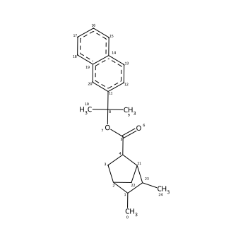 CC1C2CC(C(=O)OC(C)(C)c3ccc4ccccc4c3)C(C2)C1C